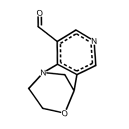 O=Cc1cncc2c1N1CCOC2C1